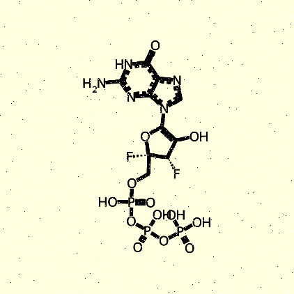 Nc1nc2c(ncn2C2=C(O)[C@H](F)[C@@](F)(COP(=O)(O)OP(=O)(O)OP(=O)(O)O)O2)c(=O)[nH]1